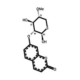 CO[C@@H]1CS[C@@H](O)[C@H](Oc2ccc3ccc(=O)oc3c2)[C@H]1O